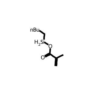 C=C(C)C(=O)O[SiH2]CCCCC